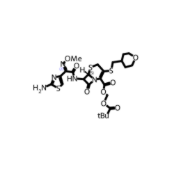 CO/N=C(\C(=O)NC1C(=O)N2C(C(=O)OCOC(=O)C(C)(C)C)=C(SCC3CCOCC3)CS[C@@H]12)c1csc(N)n1